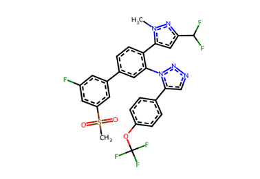 Cn1nc(C(F)F)cc1-c1ccc(-c2cc(F)[c]c(S(C)(=O)=O)c2)cc1-n1nncc1-c1ccc(OC(F)(F)F)cc1